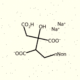 CCCCCCCCCCC(C(=O)[O-])C(O)(CC(=O)O)C(=O)[O-].[Na+].[Na+]